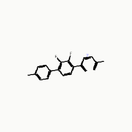 C=C(C)/C=C\C(=C)c1ccc(-c2ccc(C)cc2)c(F)c1F